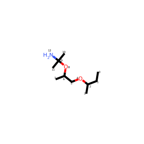 CCC(C)OCC(C)OC(C)(C)N